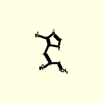 C=C/C(=C\c1scnc1CC)C(C)C